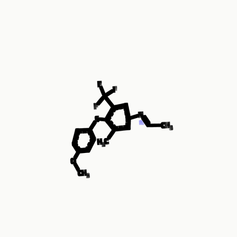 C/C=N/c1cc(C)c(Sc2ccc(OC)cc2)c(C(F)(F)F)c1